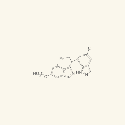 CC(C)CC(c1cc(Cl)cc2cn[nH]c12)n1ncc2cc(OC(=O)O)cnc21